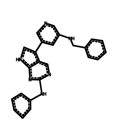 c1ccc(CNc2cncc(-c3c[nH]c4nc(Nc5ccccc5)ncc34)c2)cc1